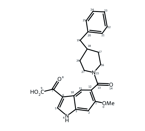 COc1cc2[nH]cc(C(=O)C(=O)O)c2cc1C(=O)N1CCC(Cc2ccccc2)CC1